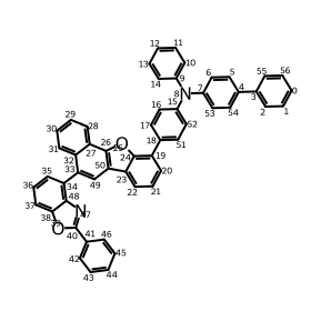 c1ccc(-c2ccc(N(c3ccccc3)c3ccc(-c4cccc5c4oc4c6ccccc6c(-c6cccc7oc(-c8ccccc8)nc67)cc54)cc3)cc2)cc1